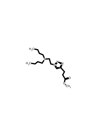 CCCCN(CCCC)CCn1cc(CCC(=O)OC)nn1